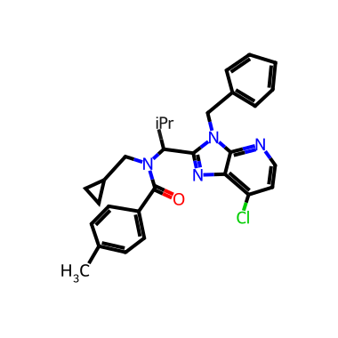 Cc1ccc(C(=O)N(CC2CC2)C(c2nc3c(Cl)ccnc3n2Cc2ccccc2)C(C)C)cc1